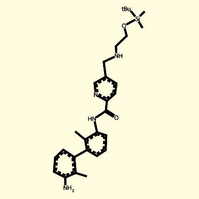 Cc1c(N)cccc1-c1cccc(NC(=O)c2ccc(CNCCO[Si](C)(C)C(C)(C)C)cn2)c1C